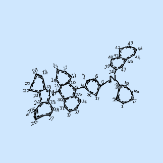 c1ccc(N(c2ccc(-c3c4ccccc4c(-n4c5ccccc5c5ccccc54)c4ccccc34)cc2)c2ccc3ccccc3c2)cc1